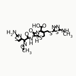 CNc1nnc(SCC2=C(C(=O)O)N3C(=O)[C@@H](NC(=O)C(=NOC)c4csc(N)n4)[C@@H]3SC2)s1